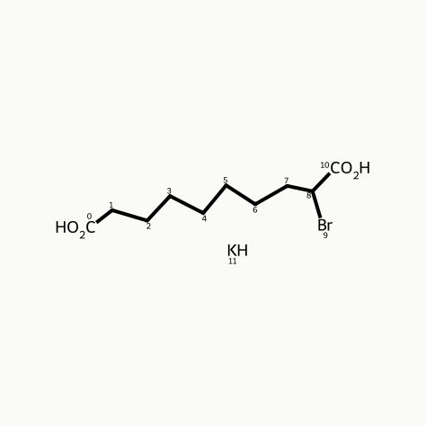 O=C(O)CCCCCCCC(Br)C(=O)O.[KH]